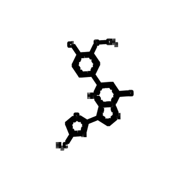 COc1cc(-c2cc(=O)n3ncc(-c4nc(C)co4)c3[nH]2)ccc1Cl